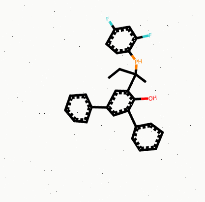 CCC(C)(Pc1ccc(F)cc1F)c1cc(-c2ccccc2)cc(-c2ccccc2)c1O